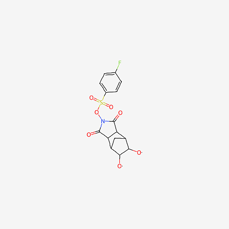 [O]C1C([O])C2CC1C1C(=O)N(OS(=O)(=O)c3ccc(F)cc3)C(=O)C21